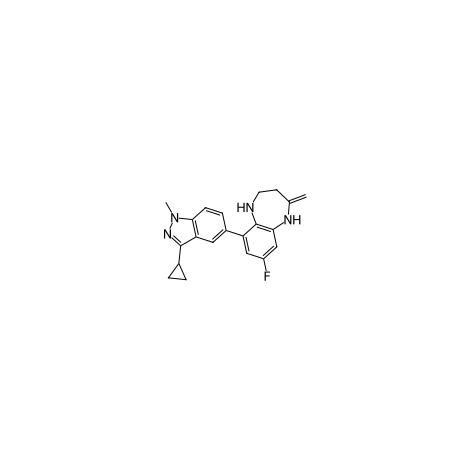 C=C1CCNc2c(cc(F)cc2-c2ccc3c(c2)c(C2CC2)nn3C)N1